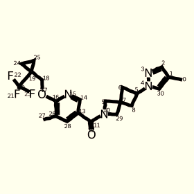 Cc1cnn(C2CC3(C2)CN(C(=O)c2cnc(OCC4(C(F)(F)F)CC4)c(C)c2)C3)c1